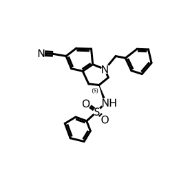 N#Cc1ccc2c(c1)C[C@H](NS(=O)(=O)c1ccccc1)CN2Cc1ccccc1